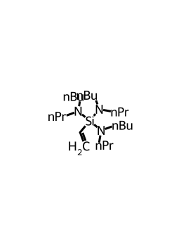 C=C[Si](N(CCC)CCCC)(N(CCC)CCCC)N(CCC)CCCC